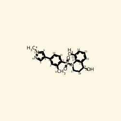 Cc1cc(-c2cnn(C)c2)ccc1S(=O)(=O)N1CC[C@H](O)c2cccc(C)c21